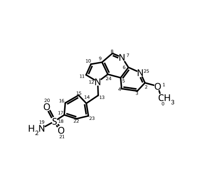 COc1ccc2c(ncc3ccn(Cc4ccc(S(N)(=O)=O)cc4)c32)n1